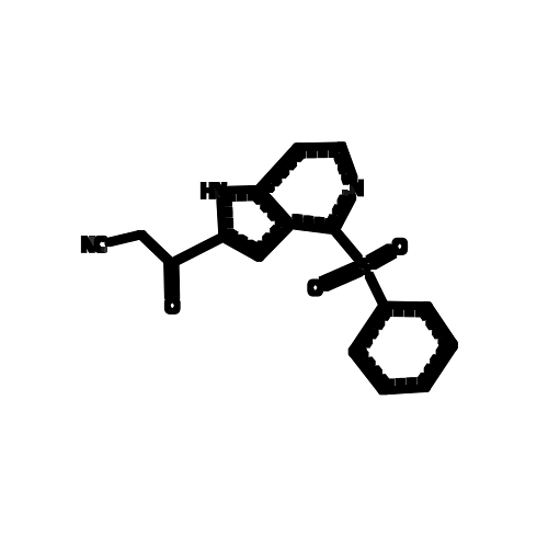 N#CCC(=O)c1cc2c(S(=O)(=O)c3ccccc3)nccc2[nH]1